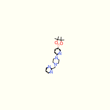 CC1(C)OB(c2ccc(N3CCN(Cc4ncccn4)CC3)nc2)OC1(C)C